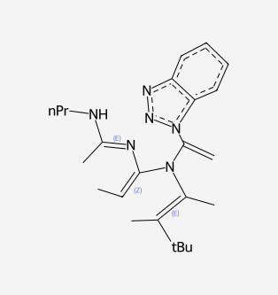 C=C(N(C(=C/C)/N=C(\C)NCCC)/C(C)=C(\C)C(C)(C)C)n1nnc2ccccc21